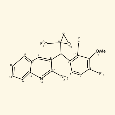 COc1c(F)ccc(C(c2cc3ccccc3nc2N)C2(C(F)(F)F)CO2)c1F